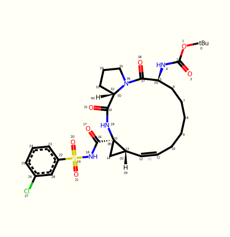 CC(C)(C)OC(=O)N[C@H]1CCCCC/C=C\[C@@H]2C[C@@]2(C(=O)NS(=O)(=O)c2cccc(Cl)c2)NC(=O)[C@@H]2CCCN2C1=O